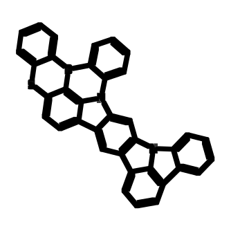 c1ccc2c(c1)Sc1ccc3c4cc5c6cccc7c8ccccc8n(c5cc4n4c3c1B2c1ccccc1-4)c76